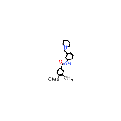 COc1ccc(C(=O)Nc2cccc(CN3CCCCC3)c2)cc1C